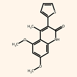 COc1cc(OC)c2c(C)c(-c3cccs3)c(=O)[nH]c2c1